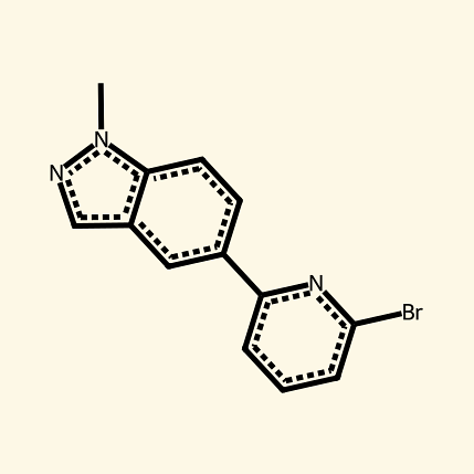 Cn1ncc2cc(-c3cccc(Br)n3)ccc21